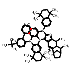 Cc1cc2c3c(c1)N(c1ccc4c(c1)C(C)(C)CCC4(C)C)c1oc4c(c1B3c1cc3c(cc1N2c1ccc(C(C)(C)C)cc1-c1ccccc1)C(C)(C)CCC3(C)C)C=C1C(C4C)C(C)C2CC[C@]1(C)C2